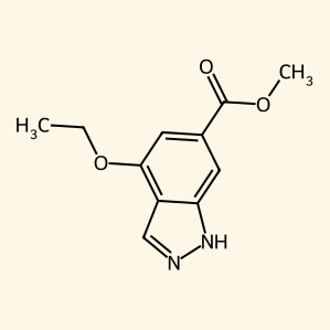 CCOc1cc(C(=O)OC)cc2[nH]ncc12